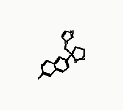 Cc1ccc2cc(C3(Cn4ccnc4)CCSS3)ccc2c1